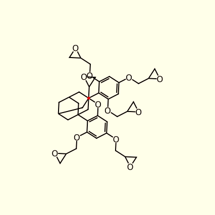 c1c(OCC2CO2)cc(OCC2CO2)c(C23CC4CC(C2)CC(c2c(OCC5CO5)cc(OCC5CO5)cc2OCC2CO2)(C4)C3)c1OCC1CO1